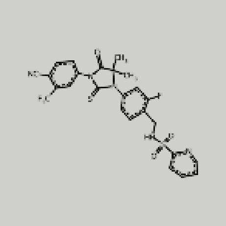 CC1(C)C(=O)N(c2ccc(C#N)c(C(F)(F)F)c2)C(=S)N1c1ccc(CNS(=O)(=O)c2ccccn2)c(F)c1